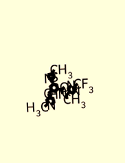 Cc1cc(Oc2cc(C(=O)NC(C)c3cnc(C(F)(F)F)nc3)cc(-c3ncc(C)s3)c2)ccn1